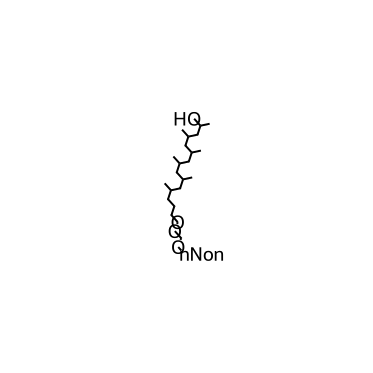 CCCCCCCCCOCOOCCCC(C)CC(C)CC(C)CC(C)CC(C)CC(C)O